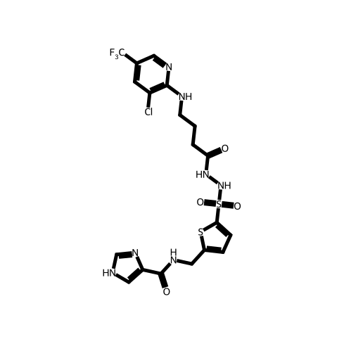 O=C(CCCNc1ncc(C(F)(F)F)cc1Cl)NNS(=O)(=O)c1ccc(CNC(=O)c2c[nH]cn2)s1